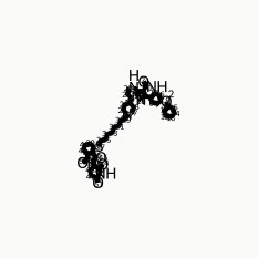 NC(=O)c1c(-c2ccc(Oc3ccccc3)cc2)nn2c1NCCC2C1CCN(CCCCCCCCSc2cccc3c2C(=O)N(C2CCC(=O)NC2=O)C3=O)CC1